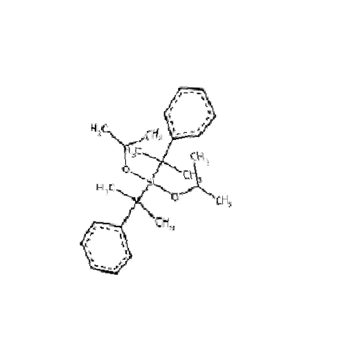 CC(C)O[Si](OC(C)C)(C(C)(C)c1ccccc1)C(C)(C)c1ccccc1